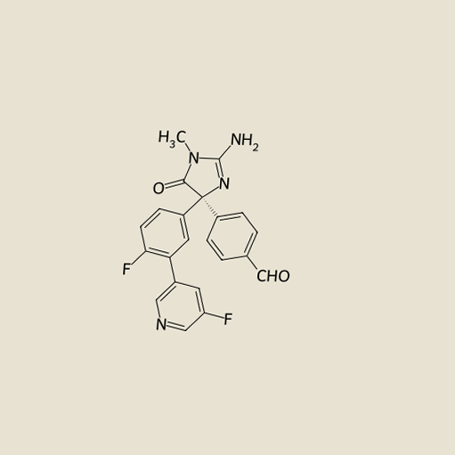 CN1C(=O)[C@](c2ccc(C=O)cc2)(c2ccc(F)c(-c3cncc(F)c3)c2)N=C1N